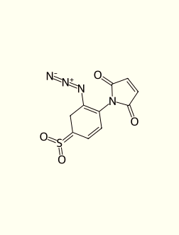 [N-]=[N+]=NC1=C(N2C(=O)C=CC2=O)C=CC(=S(=O)=O)C1